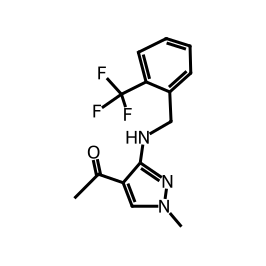 CC(=O)c1cn(C)nc1NCc1ccccc1C(F)(F)F